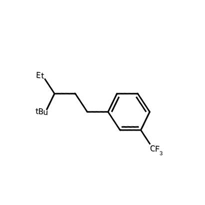 CCC(CCc1cccc(C(F)(F)F)c1)C(C)(C)C